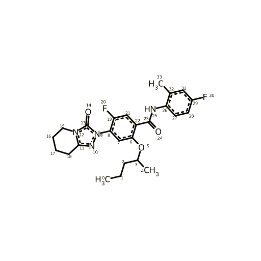 CCCC(C)Oc1cc(-n2nc3n(c2=O)CCCC3)c(F)cc1C(=O)Nc1ccc(F)cc1C